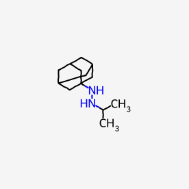 CC(C)NNC12CC3CC(CC(C3)C1)C2